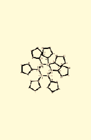 C1CCC([SiH]2[SiH](C3CCCC3)[SiH](C3CCCC3)[Si](C3CCCC3)(C3CCCC3)[SiH](C3CCCC3)[SiH]2C2CCCC2)C1